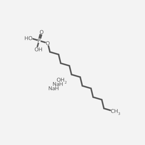 CCCCCCCCCCCCOP(=O)(O)O.O.[NaH].[NaH]